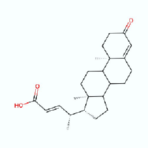 C[C@H](/C=C/C(=O)O)[C@H]1CCC2C3CCC4=CC(=O)CC[C@]4(C)C3CC[C@@]21C